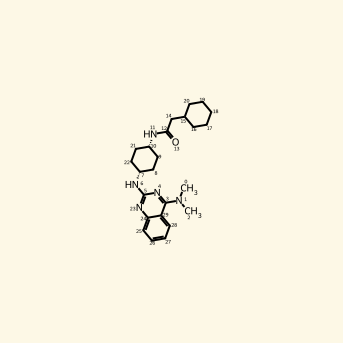 CN(C)c1nc(N[C@H]2CC[C@@H](NC(=O)CC3CCCCC3)CC2)nc2ccccc12